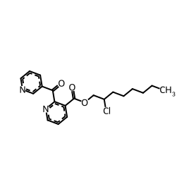 CCCCCCC(Cl)COC(=O)c1cccnc1C(=O)c1cccnc1